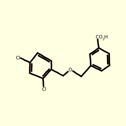 O=C(O)c1cccc(COCc2ccc(Cl)cc2Cl)c1